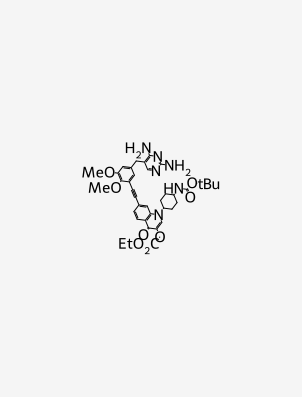 CCOC(=O)Oc1cn([C@H]2CC[C@H](NC(=O)OC(C)(C)C)CC2)c2cc(C#Cc3cc(Cc4cnc(N)nc4N)cc(OC)c3OC)ccc2c1=O